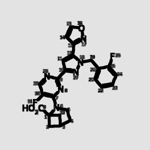 O=C(O)C12CC(CCN1c1nc(-c3cc(-c4ccon4)n(Cc4ccccc4F)n3)ncc1F)C2